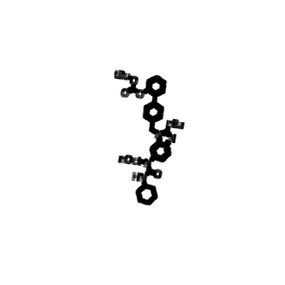 CCCCCCCCN(C(=O)NC1CCCCC1)c1ccc2nc(CCCC)n(Cc3ccc(-c4ccccc4OC(=O)OC(C)(C)C)cc3)c2c1